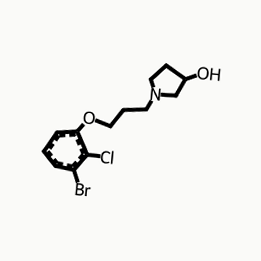 OC1CCN(CCCOc2cccc(Br)c2Cl)C1